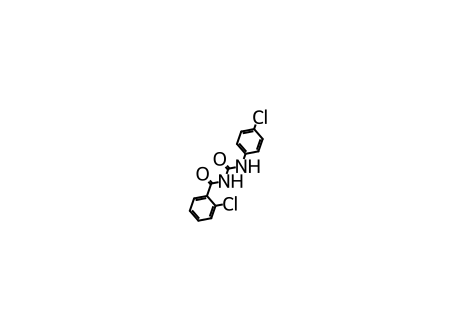 O=C(NC(=O)c1ccccc1Cl)Nc1ccc(Cl)cc1